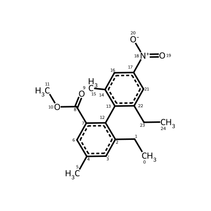 CCc1[c]c(C)cc(C(=O)OC)c1-c1c(C)cc([N+](=O)[O-])cc1CC